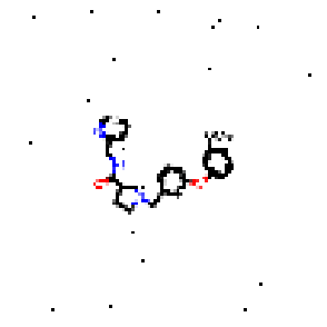 COc1cccc(Oc2cccc(CN3CCC(C(=O)NCc4ccccn4)C3)c2)c1